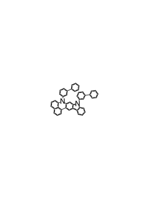 c1ccc(-c2cccc(N3c4cc5c(cc4-c4cccc6cccc3c46)c3ccccc3n5-c3cccc(-c4ccccc4)c3)c2)cc1